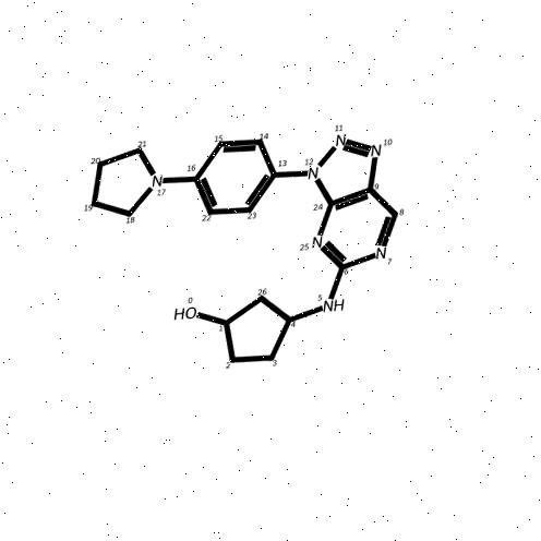 OC1CCC(Nc2ncc3nnn(-c4ccc(N5CCCC5)cc4)c3n2)C1